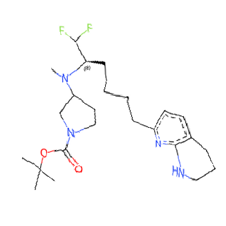 CN(C1CCN(C(=O)OC(C)(C)C)C1)[C@H](CCCCc1ccc2c(n1)NCCC2)C(F)F